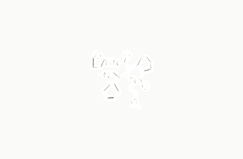 COCCN1C(=O)c2ccccc2C(C(=O)NCc2ccco2)C1c1cn(C)c2ccccc12